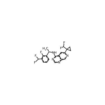 C[C@@H](Nc1ncnc2cnc(C3(C(F)F)CC3)cc12)c1cccc(C(F)F)c1F